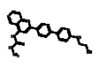 NNC(=O)Nc1cc(-c2ccc(-c3ccc(NCCO)cc3)cc2)nc2ccncc12